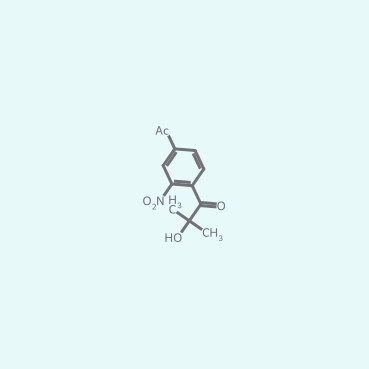 CC(=O)c1ccc(C(=O)C(C)(C)O)c([N+](=O)[O-])c1